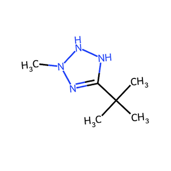 CN1N=C(C(C)(C)C)NN1